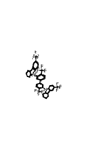 FC(F)(F)c1ccc2c(c1)c1ccccc1n2-c1cc(-c2ccc(C(F)(F)F)c(-n3c4ccccc4c4cc(C(F)(F)F)ccc43)c2)ccc1C(F)(F)F